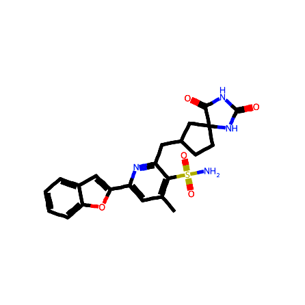 Cc1cc(-c2cc3ccccc3o2)nc(CC2CCC3(C2)NC(=O)NC3=O)c1S(N)(=O)=O